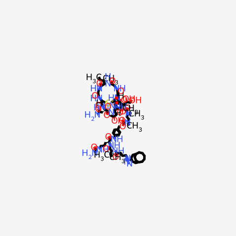 CC[C@H](C)[C@@H]1NC(=O)CNC(=O)[C@H]2Cc3c([nH]c4cc(OC(=O)N(C)CCN(C)C(=O)OCc5ccc(NC(=O)[C@H](CCCNC(N)=O)NC(=O)[C@@H](NC(=O)CCCn6nnc7c6CC6CCCCCC(CC6)C7)C(C)C)cc5)ccc34)[S+]([O-])C[C@H](NC(=O)CNC1=O)C(=O)N[C@@H](CC(N)=O)C(=O)N1C[C@H](O)C[C@H]1C(=O)N[C@@H]([C@@H](C)[C@@H](O)CO)C(=O)N2